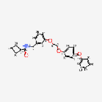 O=C(NCc1[c]c(OCCOc2ccc(Oc3ccccc3)cc2)ccc1)C1CCC1